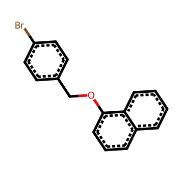 Brc1ccc(COc2cccc3ccccc23)cc1